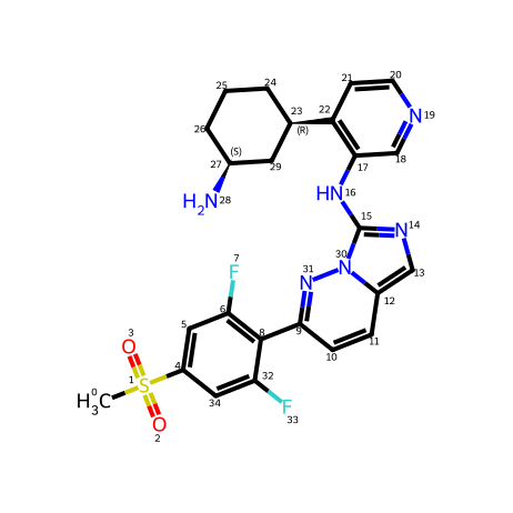 CS(=O)(=O)c1cc(F)c(-c2ccc3cnc(Nc4cnccc4[C@@H]4CCC[C@H](N)C4)n3n2)c(F)c1